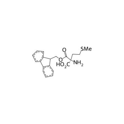 CSCC[C@](N)(C(=O)O)C(=O)OCC1c2ccccc2-c2ccccc21